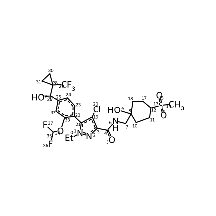 CCn1nc(C(=O)NCC2(O)CCC(S(C)(=O)=O)CC2)c(Cl)c1-c1ccc([C@@H](O)C2(C(F)(F)F)CC2)cc1OC(F)F